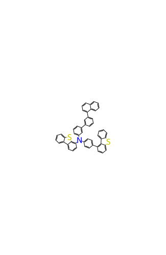 c1cc(-c2cccc(N(c3ccc(-c4cccc5sc6ccccc6c45)cc3)c3cccc4c3sc3ccccc34)c2)cc(-c2cccc3ccccc23)c1